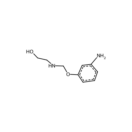 Nc1cccc(OCNCCO)c1